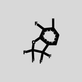 Cc1ccc2c(c1F)OC(F)(F)C2(F)F